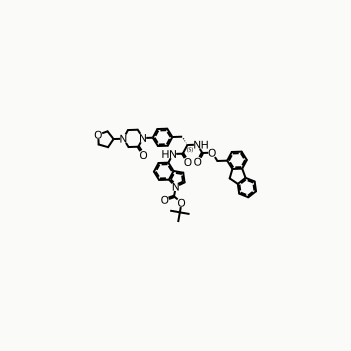 CC(C)(C)OC(=O)n1ccc2c(NC(=O)[C@H](Cc3ccc(N4CCN(C5CCOC5)CC4=O)cc3)NC(=O)OCc3cccc4c3Cc3ccccc3-4)cccc21